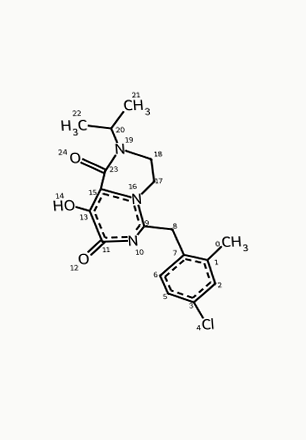 Cc1cc(Cl)ccc1Cc1nc(=O)c(O)c2n1CCN(C(C)C)C2=O